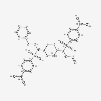 O=COC(C1CCC(N(OCc2ccccc2)S(=O)(=O)c2ccc([N+](=O)[O-])cc2)CN1)S(=O)(=O)c1ccc([N+](=O)[O-])cc1